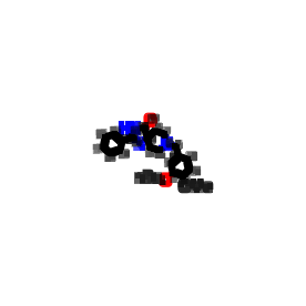 CCCCOc1cc(CN2CCC3(CC2)N=C(c2ccccc2)NC3=O)ccc1OC